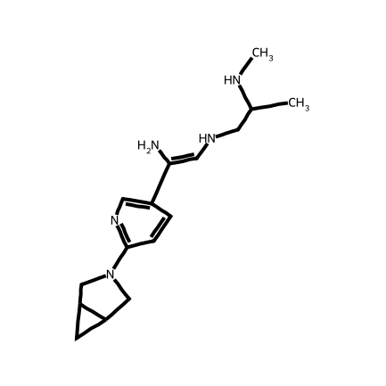 CNC(C)CN/C=C(\N)c1ccc(N2CC3CC3C2)nc1